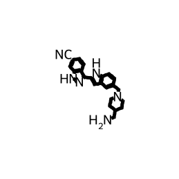 N#Cc1ccc2c(-c3cc4cc(CN5CCC(CN)CC5)ccc4[nH]3)n[nH]c2c1